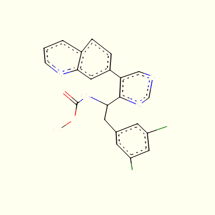 CC(C)(C)OC(=O)NC(Cc1cc(F)cc(F)c1)c1ncncc1-c1ccc2cccnc2c1